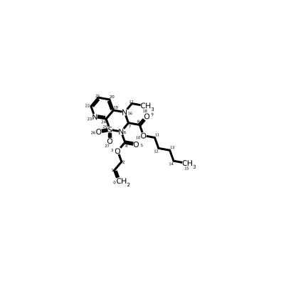 C=CCOC(=O)N1C(C(=O)OCCCCC)N(CC)c2cccnc2S1(=O)=O